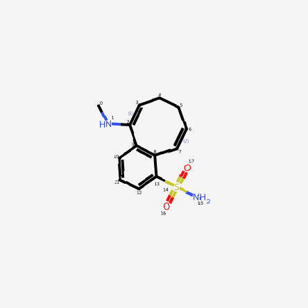 CN/C1=C/CC/C=C\c2c1cccc2S(N)(=O)=O